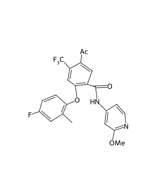 COc1cc(NC(=O)c2cc(C(C)=O)c(C(F)(F)F)cc2Oc2ccc(F)cc2C)ccn1